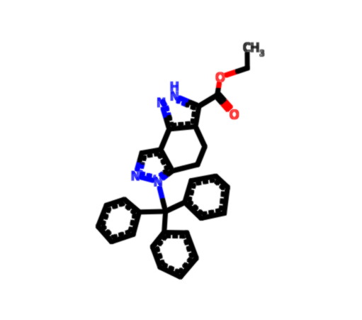 CCOC(=O)c1[nH]nc2c1CCc1c-2cnn1C(c1ccccc1)(c1ccccc1)c1ccccc1